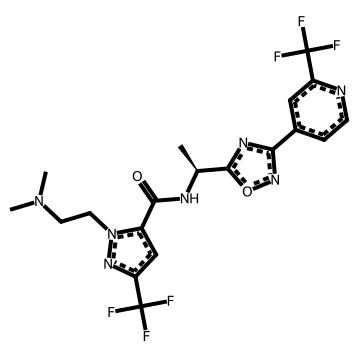 C[C@H](NC(=O)c1cc(C(F)(F)F)nn1CCN(C)C)c1nc(-c2ccnc(C(F)(F)F)c2)no1